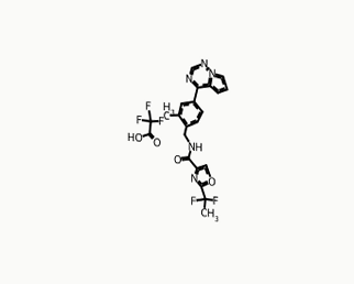 Cc1cc(-c2ncnn3cccc23)ccc1CNC(=O)c1coc(C(C)(F)F)n1.O=C(O)C(F)(F)F